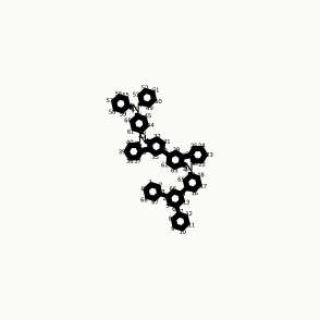 c1ccc(-c2cc(-c3ccccc3)cc(-c3cccc(-n4c5ccccc5c5cc(-c6ccc7c(c6)c6ccccc6n7-c6ccc(N(c7ccccc7)c7ccccc7)cc6)ccc54)c3)c2)cc1